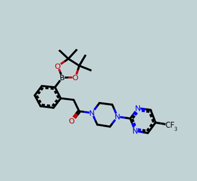 CC1(C)OB(c2ccccc2CC(=O)N2CCN(c3ncc(C(F)(F)F)cn3)CC2)OC1(C)C